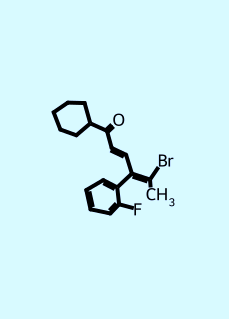 C/C(Br)=C(/C=C/C(=O)C1CCCCC1)c1ccccc1F